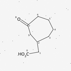 O=C(O)CC1CCCCC(=O)C1